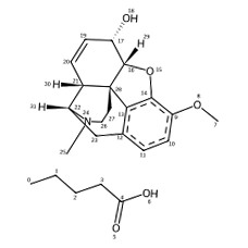 CCCCC(=O)O.COc1ccc2c3c1O[C@H]1[C@@H](O)C=C[C@H]4[C@@H](C2)N(C)CC[C@@]341